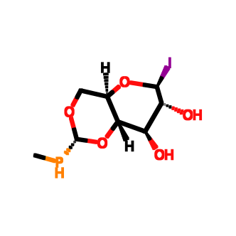 CP[C@@H]1OC[C@H]2O[C@@H](I)[C@H](O)[C@@H](O)[C@@H]2O1